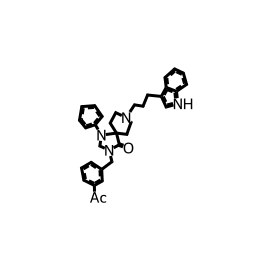 CC(=O)c1cccc(CN2CN(c3ccccc3)C3(CCN(CCCc4c[nH]c5ccccc45)CC3)C2=O)c1